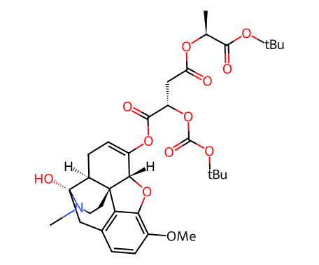 COc1ccc2c3c1O[C@H]1C(OC(=O)[C@H](CC(=O)O[C@@H](C)C(=O)OC(C)(C)C)OC(=O)OC(C)(C)C)=CC[C@H]4[C@@]31CCN(C)[C@@]4(O)C2